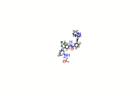 CC(=O)CCNCCN(Cc1ccc(NC(=O)c2ccc(C)c(C#Cc3cnc4cccnn34)c2)cc1C(F)(F)F)CC1CC1